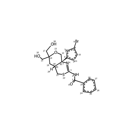 O=C(NC1=N[C@@]2(c3nc(Br)cs3)COC(CO)(CO)C[C@H]2CS1)c1ccccc1